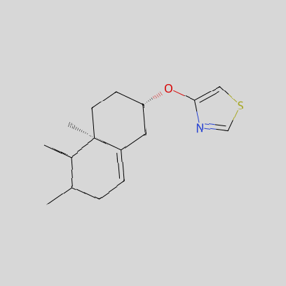 CC1CC=C2C[C@@H](Oc3cscn3)CC[C@]2(C)C1C